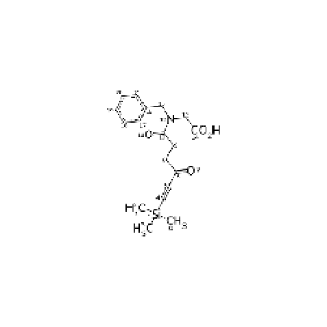 C[Si](C)(C)C#CC(=O)CCC(=O)N(CC(=O)O)Cc1ccccc1